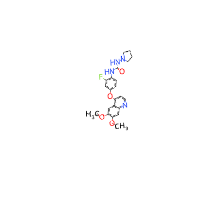 COc1cc2nccc(Oc3ccc(NC(=O)NN4CCCC4)c(F)c3)c2cc1OC